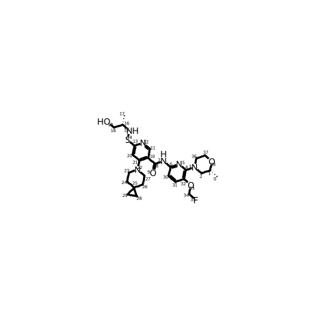 C[C@@H]1CN(c2nc(NC(=O)c3cnc(SN[C@@H](C)CO)cc3N3CCC4(CC3)CC4)ccc2OCF)CCO1